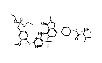 CCOP(=O)(Cc1ccc(Nc2ncc(C(F)(F)F)c(Nc3ccc([C@H]4CC[C@H](OC(=O)[C@@H](N)C(C)C)CC4)c4c3C(=O)N(C)C4)n2)c(OC)c1)OCC